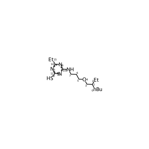 CCCCC(CC)COCCCNc1nc(S)nc(CC)n1